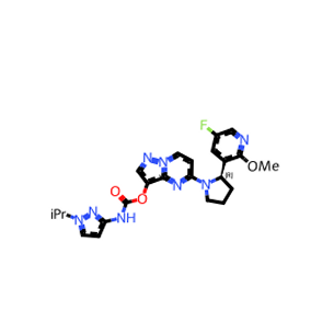 COc1ncc(F)cc1[C@H]1CCCN1c1ccn2ncc(OC(=O)Nc3ccn(C(C)C)n3)c2n1